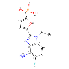 CC(C)Cn1c(-c2ccc(P(=O)(O)O)o2)nc2c(N)c(F)ccc21